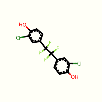 Oc1ccc(C(F)(F)C(F)(F)c2ccc(O)c(Cl)c2)cc1Cl